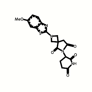 COc1ccc2nc(N3CC4(CC(=O)N(C5CCC(=O)NC5=O)C4=O)C3)sc2c1